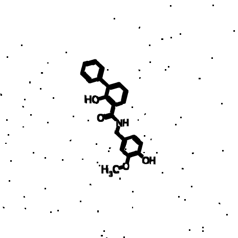 COc1cc(CNC(=O)c2cccc(-c3ccccc3)c2O)ccc1O